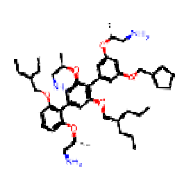 CCCC(CCC)COc1cc(-c2c(OCC(CC)CC)cccc2O[C@H](C)CN)cc(O[C@H](C)CN)c1-c1cc(OCC2CCCC2)cc(O[C@H](C)CN)c1